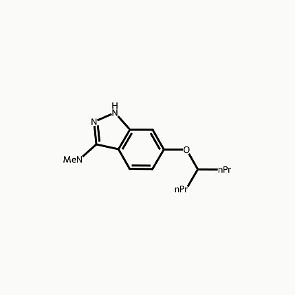 CCCC(CCC)Oc1ccc2c(NC)n[nH]c2c1